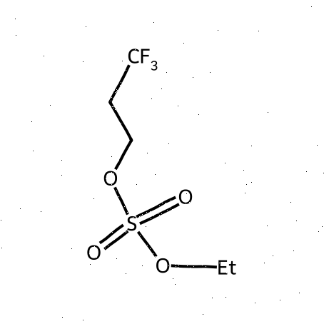 CCOS(=O)(=O)OCCC(F)(F)F